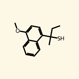 CCC(C)(S)c1ccc(OC)c2ccccc12